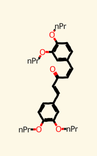 CCCOc1ccc(/C=C\C(=O)/C=C/c2ccc(OCCC)c(OCCC)c2)cc1OCCC